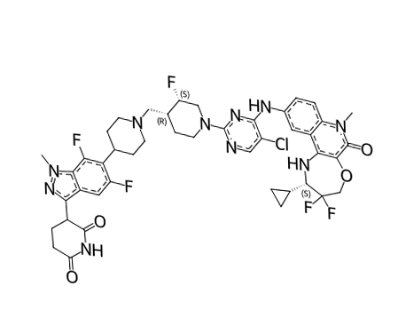 Cn1nc(C2CCC(=O)NC2=O)c2cc(F)c(C3CCN(C[C@H]4CCN(c5ncc(Cl)c(Nc6ccc7c(c6)c6c(c(=O)n7C)OCC(F)(F)[C@H](C7CC7)N6)n5)C[C@H]4F)CC3)c(F)c21